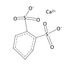 O=S(=O)([O-])c1ccccc1S(=O)(=O)[O-].[Ca+2]